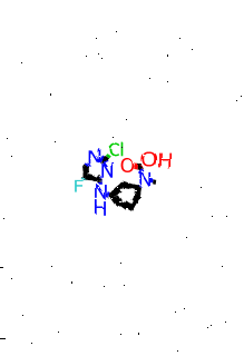 CN(C(=O)O)c1cccc(Nc2nc(Cl)ncc2F)c1